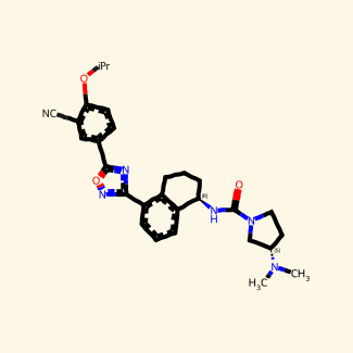 CC(C)Oc1ccc(-c2nc(-c3cccc4c3CCC[C@H]4NC(=O)N3CC[C@H](N(C)C)C3)no2)cc1C#N